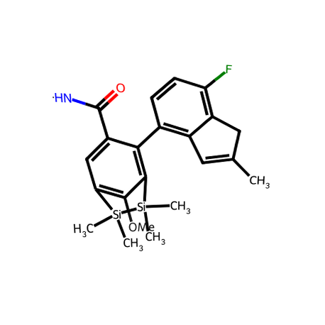 COc1c2cc(C([NH])=O)c(-c3ccc(F)c4c3C=C(C)C4)c1[Si](C)(C)[Si]2(C)C